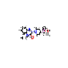 Cn1c(=O)c(N2CC=C(P(C)(C)=O)CC2)nc2ccccc21